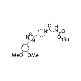 COc1ccc(-c2noc(C3CCN(C(=O)CNC(=O)OC(C)(C)C)CC3)n2)cc1OC